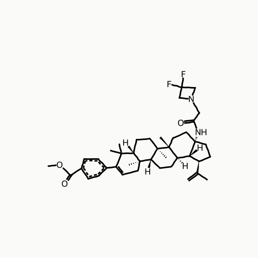 C=C(C)[C@@H]1CC[C@]2(NC(=O)CN3CC(F)(F)C3)CC[C@]3(C)[C@H](CC[C@@H]4[C@@]5(C)CC=C(c6ccc(C(=O)OC)cc6)C(C)(C)[C@@H]5CC[C@]43C)[C@@H]12